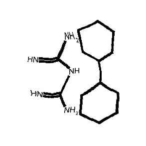 C1CCC(C2CCCCC2)CC1.N=C(N)NC(=N)N